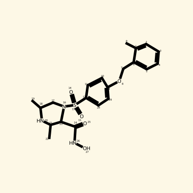 Cc1ccccc1COc1ccc(S(=O)(=O)N2CC(C)NC(C)C2C(=O)NO)cc1